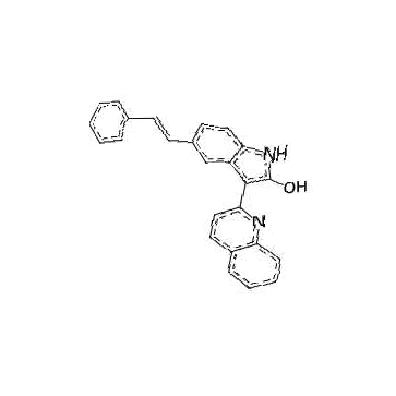 Oc1[nH]c2ccc(C=Cc3ccccc3)cc2c1-c1ccc2ccccc2n1